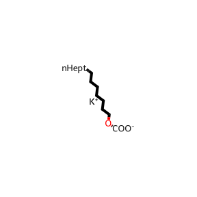 CCCCCCCCCCCCCCOC(=O)[O-].[K+]